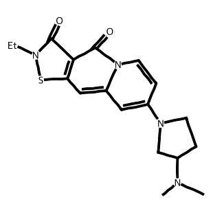 CCn1sc2cc3cc(N4CCC(N(C)C)C4)ccn3c(=O)c2c1=O